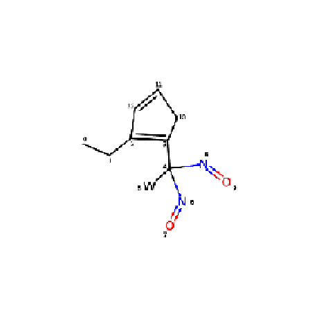 CCC1=C([C]([W])(N=O)N=O)CC=C1